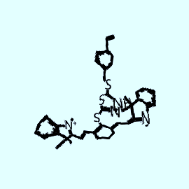 C=Cc1ccc(CSC2NN=C(SC3=C(/C=C/C4=[N+](C)c5ccccc5C4(C)C)CCC/C3=C\C=C3\N(C)c4ccccc4C3(C)C)S2)cc1